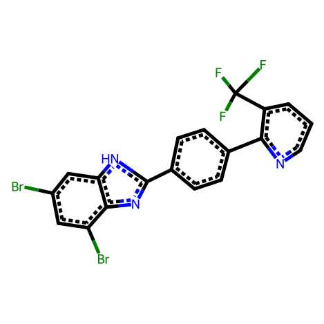 FC(F)(F)c1cccnc1-c1ccc(-c2nc3c(Br)cc(Br)cc3[nH]2)cc1